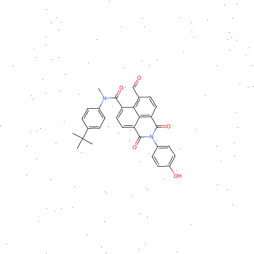 CN(C(=O)c1ccc2c3c(ccc(C=O)c13)C(=O)N(c1ccc(O)cc1)C2=O)c1ccc(C(C)(C)C)cc1